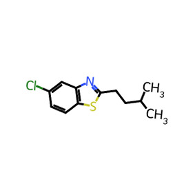 CC(C)CCc1nc2cc(Cl)ccc2s1